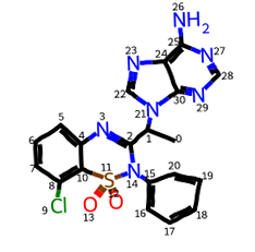 CC(C1=Nc2cccc(Cl)c2S(=O)(=O)N1c1ccccc1)n1cnc2c(N)ncnc21